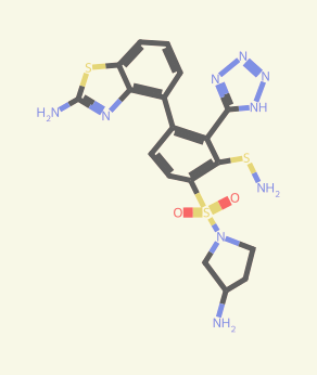 NSc1c(S(=O)(=O)N2CCC(N)C2)ccc(-c2cccc3sc(N)nc23)c1-c1nnn[nH]1